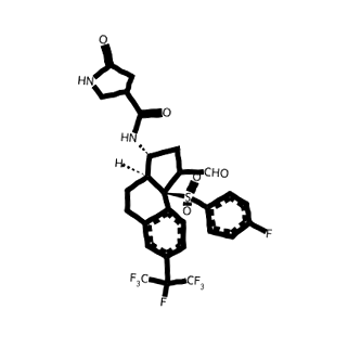 O=CC1C[C@@H](NC(=O)C2CNC(=O)C2)[C@@H]2CCc3cc(C(F)(C(F)(F)F)C(F)(F)F)ccc3[C@@]12S(=O)(=O)c1ccc(F)cc1